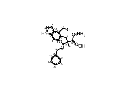 CC(Cc1ccc2[nH]ncc2c1CCl)(C(=O)ON)C(=O)OCc1ccccc1.Cl